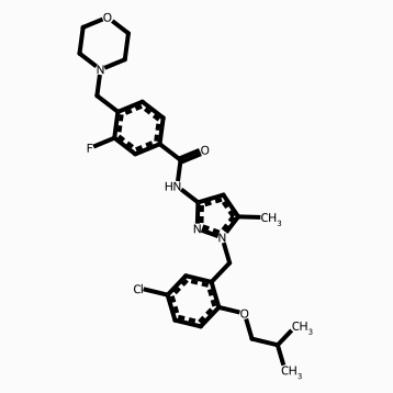 Cc1cc(NC(=O)c2ccc(CN3CCOCC3)c(F)c2)nn1Cc1cc(Cl)ccc1OCC(C)C